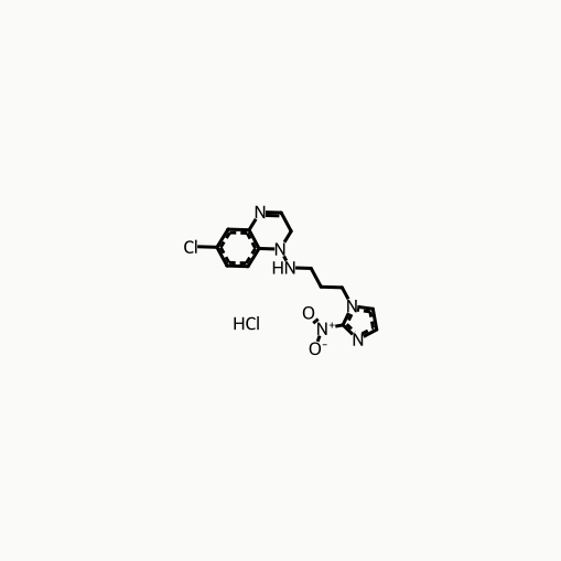 Cl.O=[N+]([O-])c1nccn1CCCNN1CC=Nc2cc(Cl)ccc21